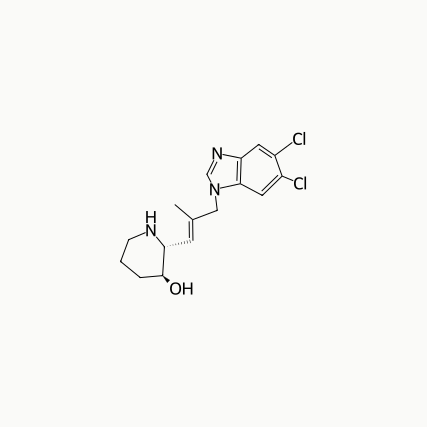 C/C(=C\[C@H]1NCCC[C@@H]1O)Cn1cnc2cc(Cl)c(Cl)cc21